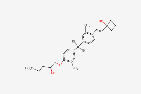 CCC(CC)(c1ccc(C=CC2(O)CCC2)c(C)c1)c1ccc(OC[C@@H](O)CCC(=O)O)c(C)c1